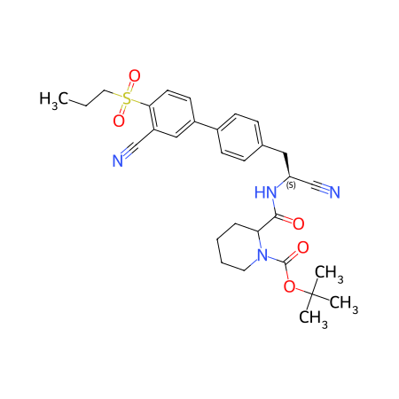 CCCS(=O)(=O)c1ccc(-c2ccc(C[C@@H](C#N)NC(=O)C3CCCCN3C(=O)OC(C)(C)C)cc2)cc1C#N